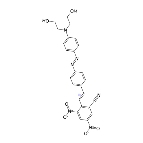 N#Cc1cc([N+](=O)[O-])cc([N+](=O)[O-])c1/C=C/c1ccc(N=Nc2ccc(N(CCO)CCO)cc2)cc1